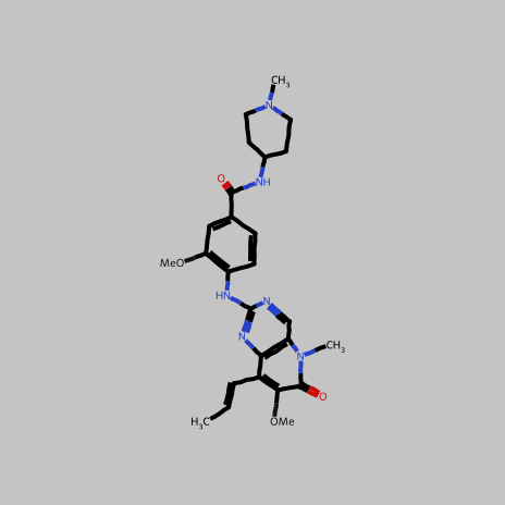 CC=Cc1c(OC)c(=O)n(C)c2cnc(Nc3ccc(C(=O)NC4CCN(C)CC4)cc3OC)nc12